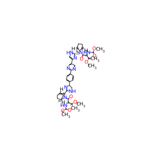 COC(=O)N[C@H](C(=O)N1[C@@H]2CC[C@@H](C2)[C@H]1C1=NC(c2ccc(-c3ncc(-c4c[nH]c([C@@H]5[C@H]6CC[C@H](C6)N5C(=O)[C@@H](NC(=O)OC)[C@@H](C)OC)n4)cn3)cc2)CN1)[C@@H](C)OC